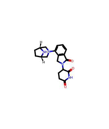 O=C1CCC(N2Cc3c(cccc3N3C[C@H]4CC[C@@H](C3)N4)C2=O)C(=O)N1